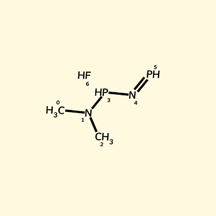 CN(C)PN=P.F